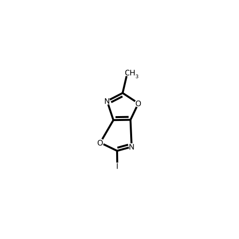 Cc1nc2oc(I)nc2o1